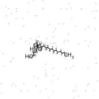 CCCCCCCCCCCCCCC1(C(=O)NCCCO)CO1